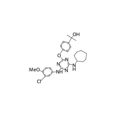 COc1ccc(Nc2nc(NC3CCCCCC3)nc(Oc3ccc(C(C)(C)O)cc3)n2)cc1Cl